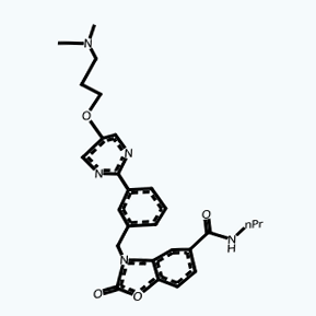 CCCNC(=O)c1ccc2oc(=O)n(Cc3cccc(-c4ncc(OCCCN(C)C)cn4)c3)c2c1